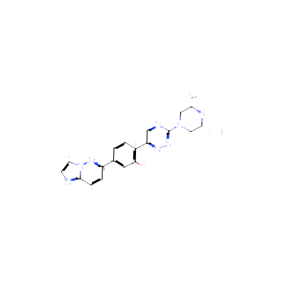 C[C@@H]1CN(c2ncc(-c3ccc(-c4ccc5nccn5n4)cc3O)nn2)C[C@H](C)N1